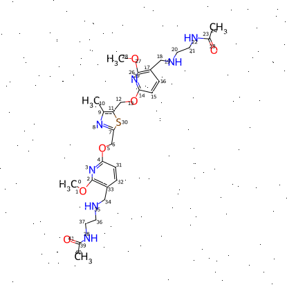 COc1nc(OCc2nc(C)c(COc3ccc(CNCCNC(C)=O)c(OC)n3)s2)ccc1CNCCNC(C)=O